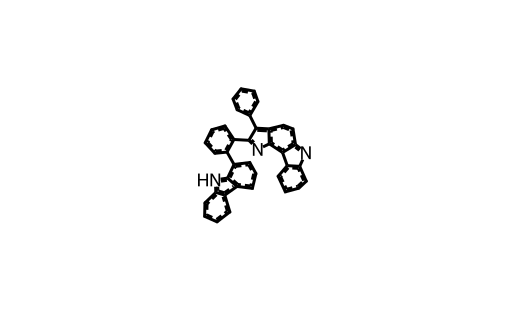 c1ccc(C2=c3ccc4c(c3N=C2c2ccccc2-c2cccc3c2[nH]c2ccccc23)-c2ccccc2N=4)cc1